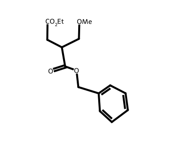 CCOC(=O)CC(COC)C(=O)OCc1ccccc1